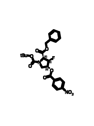 CC(C)(C)OC(=O)N1C[C@@H](OC(=O)c2ccc([N+](=O)[O-])cc2)[C@H](F)[C@H]1C(=O)OCc1ccccc1